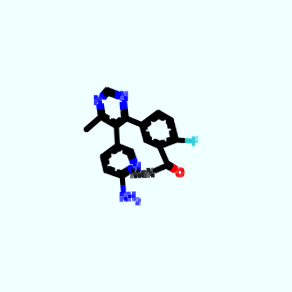 CNC(=O)c1cc(-c2ncnc(C)c2-c2ccc(N)nc2)ccc1F